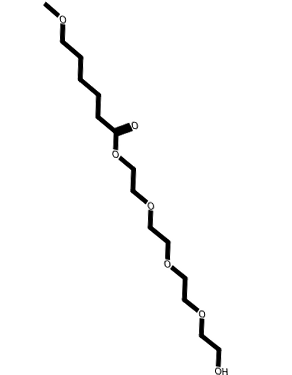 COCCCCCC(=O)OCCOCCOCCOCCO